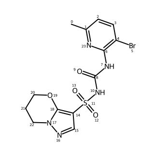 Cc1ccc(Br)c(NC(=O)NS(=O)(=O)c2cnn3c2OCCC3)n1